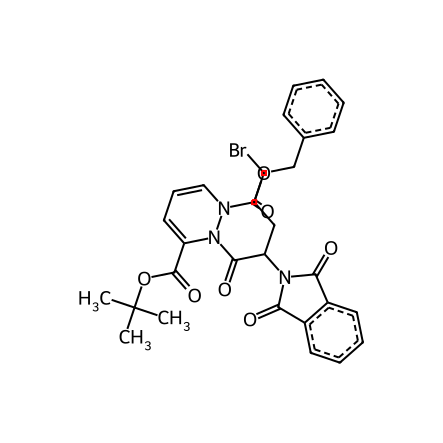 CC(C)(C)OC(=O)C1=CC=CN(C(=O)OCc2ccccc2)N1C(=O)C(CCCBr)N1C(=O)c2ccccc2C1=O